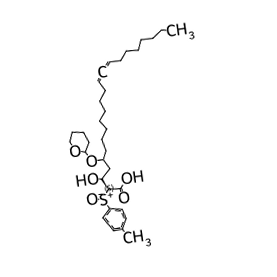 CCCCCCCC=C=CCCCCCCCC(CC(O)[C@@H](C(=O)O)[S+]([O-])c1ccc(C)cc1)OC1CCCCO1